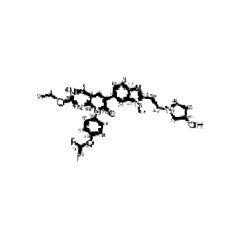 CCOc1ncc2cc(-c3ccc4nc(CCN5CCC(O)C5)n(C)c4c3)c(=O)n(-c3ccc(OC(F)F)cc3)c2n1